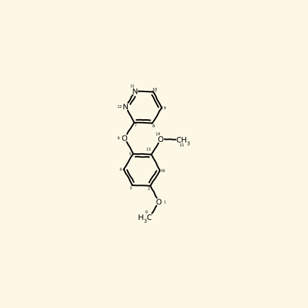 COc1ccc(Oc2cc[c]nn2)c(OC)c1